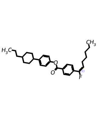 CCCCC/C=C(/F)c1ccc(C(=O)Oc2ccc(C3CCC(CCC)CC3)cc2)cc1